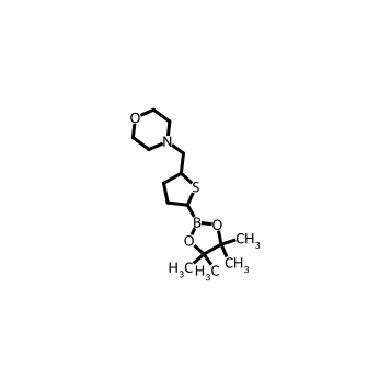 CC1(C)OB(C2CCC(CN3CCOCC3)S2)OC1(C)C